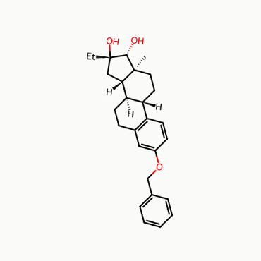 CC[C@]1(O)C[C@H]2[C@@H]3CCc4cc(OCc5ccccc5)ccc4[C@H]3CC[C@]2(C)[C@H]1O